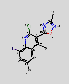 CCc1cc(I)c2nc(Cl)c(-c3nc(C)no3)c(C)c2c1